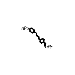 CCCC=CC1CCC(CC=CCC2CCC(CCC)CC2)CC1